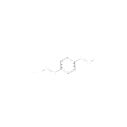 CN=Nc1ccc(N=NC)cc1